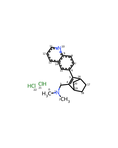 CN(C)CC1=C(c2ccc3ncccc3c2)C2CCC1C2.Cl.Cl